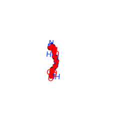 C[C@H]1CN(C(=O)Nc2ccc(N3CCC(CN4CCN(c5ccc6c(c5)C(=O)N(C5CCC(=O)NC5=O)C6=O)CC4)CC3)nc2)CCN1c1ccc(C#N)c2ncccc12